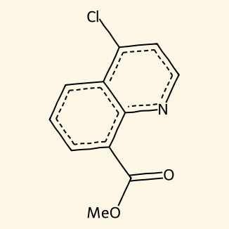 COC(=O)c1cccc2c(Cl)ccnc12